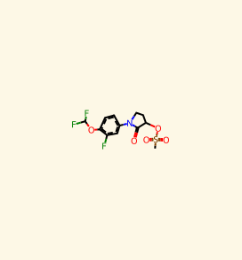 CS(=O)(=O)OC1CCN(c2ccc(OC(F)F)c(F)c2)C1=O